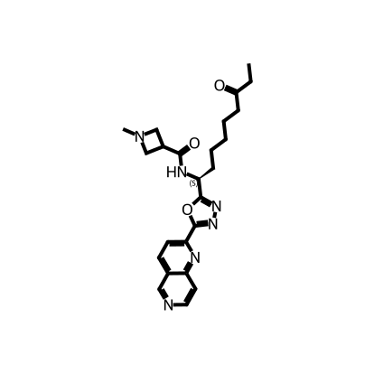 CCC(=O)CCCCC[C@H](NC(=O)C1CN(C)C1)c1nnc(-c2ccc3cnccc3n2)o1